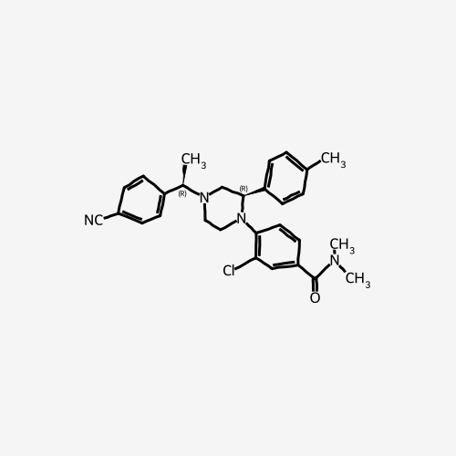 Cc1ccc([C@@H]2CN([C@H](C)c3ccc(C#N)cc3)CCN2c2ccc(C(=O)N(C)C)cc2Cl)cc1